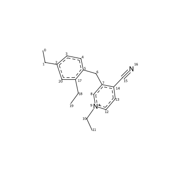 CCc1ccc(Cc2c[n+](CC)ccc2C#N)c(CC)c1